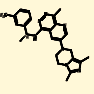 Cc1nc(C)n2c1CN(c1cnc3c(C)nnc(N[C@H](C)c4cccc(C(F)(F)F)c4)c3c1)CC2